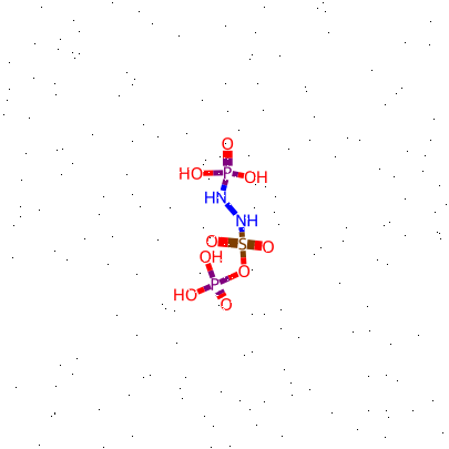 O=P(O)(O)NNS(=O)(=O)OP(=O)(O)O